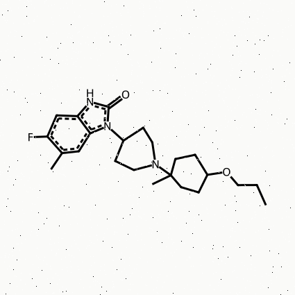 CCCOC1CCC(C)(N2CCC(n3c(=O)[nH]c4cc(F)c(C)cc43)CC2)CC1